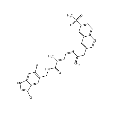 C=C(Cc1cnc2ccc(S(C)(=O)=O)cc2c1)/N=C\C=C(/C)C(=O)NCc1cc2c(Cl)c[nH]c2cc1F